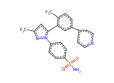 NS(=O)(=O)c1ccc(-n2nc(C(F)(F)F)cc2-c2cc(-c3ccncc3)ccc2C(F)(F)F)cc1